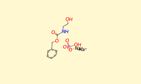 O=C(NCCO)OCc1ccccc1.O=P([O-])([O-])O.[Na+].[Na+]